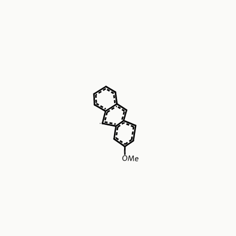 COc1ccc2cc3ccccc3[c]c2c1